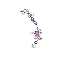 Cc1ncsc1-c1ccc([C@H](CO)NC(=O)[C@@H]2C[C@@H](O)CN2C(=O)C(NC(=O)CCCCN2CCN(c3ccc(C(=O)NC4C(C)(C)C(Oc5ccc(C#N)c(Cl)c5)C4(C)C)cn3)CC2)C(C)(C)C)cc1